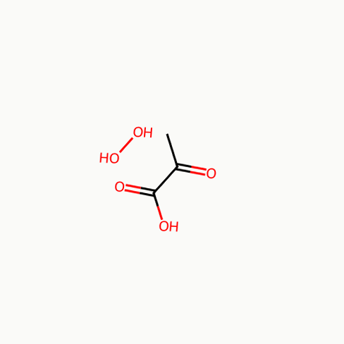 CC(=O)C(=O)O.OO